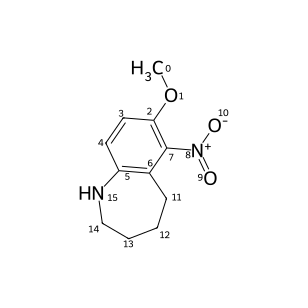 COc1ccc2c(c1[N+](=O)[O-])CCCCN2